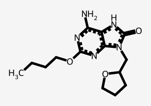 CCCCOc1nc(N)c2[nH]c(=O)n(CC3CCCO3)c2n1